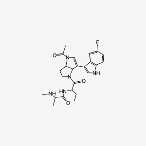 CCC(NC(=O)C(C)NC)C(=O)N1CCC2C1C(c1c[nH]c3ccc(F)cc13)=CN2C(C)=O